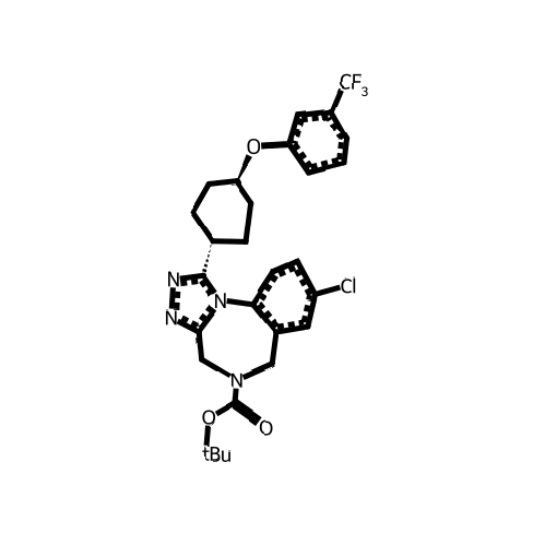 CC(C)(C)OC(=O)N1Cc2cc(Cl)ccc2-n2c(nnc2[C@H]2CC[C@H](Oc3cccc(C(F)(F)F)c3)CC2)C1